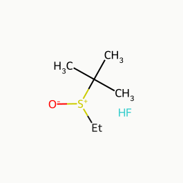 CC[S+]([O-])C(C)(C)C.F